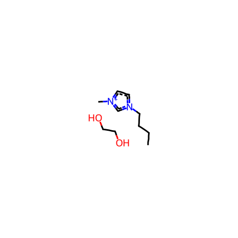 CCCCn1cc[n+](C)c1.OCCO